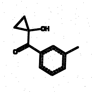 Cc1cccc(C(=O)C2(O)CC2)c1